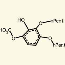 CCCCCOc1ccc(OC(=O)O)c(O)c1OCCCCC